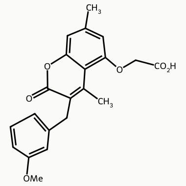 COc1cccc(Cc2c(C)c3c(OCC(=O)O)cc(C)cc3oc2=O)c1